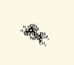 CCOc1nn2c(=N)n(CC(=O)c3cc(C(C)(C)C)cc(C(C)(C)OC)c3)nc2c(C)c1C.Cl